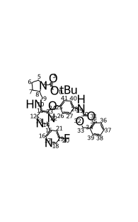 CC(C)(C)OC(=O)N1CCCC1CNc1cnc(-c2cncc(F)c2)nc1Oc1ccc(NC(=O)OCc2ccccc2)cc1